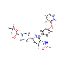 CC(=O)Nc1c(C)cc(C2CCN(C(=O)OC(C)(C)C)CC2)nc1-c1ccc(Oc2ccccn2)cc1